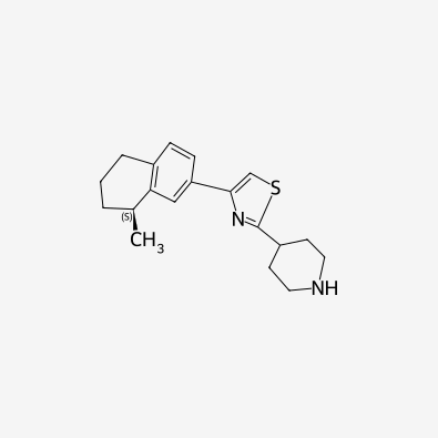 C[C@H]1CCCc2ccc(-c3csc(C4CCNCC4)n3)cc21